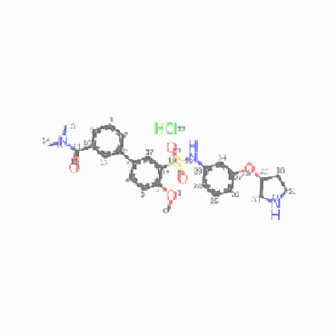 COc1ccc(-c2cccc(C(=O)N(C)C)c2)cc1S(=O)(=O)Nc1cccc(O[C@H]2CCNC2)c1.Cl